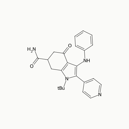 CC(C)(C)n1c2c(c(Nc3ccccc3)c1-c1ccncc1)C(=O)CC(C(N)=O)C2